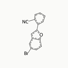 N#Cc1ccccc1-c1cc2cc(Br)ccc2o1